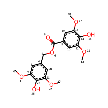 COc1cc(COC(=O)c2cc(OC)c(O)c(OC)c2)cc(OC)c1O